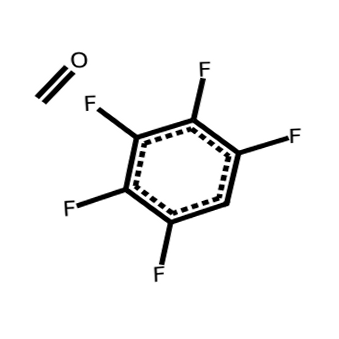 C=O.Fc1cc(F)c(F)c(F)c1F